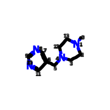 CN1CCN(Cc2cncnc2)CC1